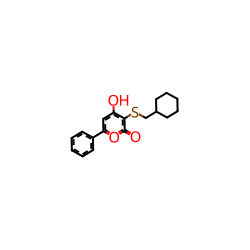 O=c1oc(-c2ccccc2)cc(O)c1SCC1CCCCC1